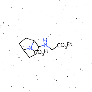 CCOC(=O)CNC1CCC2CCC1N2C(=O)O